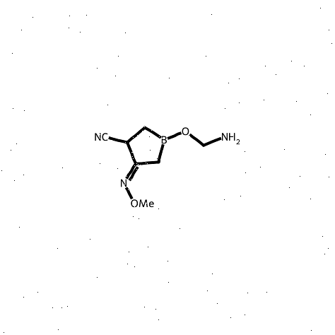 CO/N=C1\CB(OCN)CC1C#N